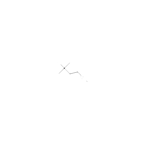 CC(C)(O)C[CH2][Mg][Br]